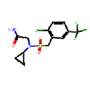 NC(=O)CN(C1CC1)S(=O)(=O)Cc1cc(C(F)(F)F)ccc1Cl